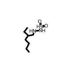 CCCCC(CC)CNN[SH](=O)=O